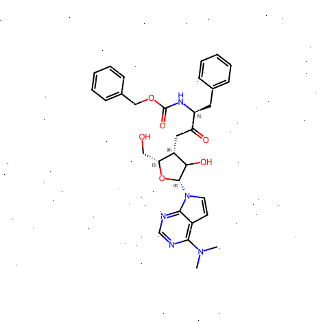 CN(C)c1ncnc2c1ccn2[C@@H]1O[C@H](CO)[C@H](CC(=O)[C@H](Cc2ccccc2)NC(=O)OCc2ccccc2)C1O